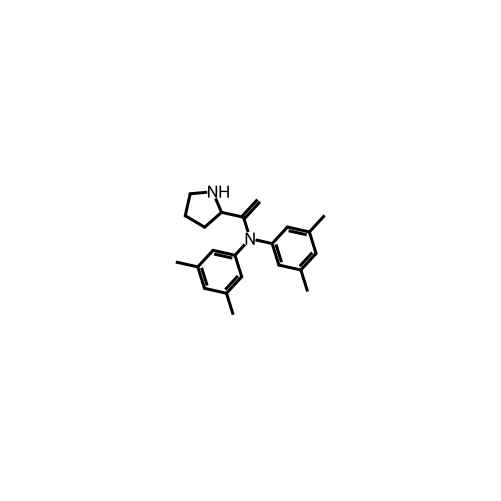 C=C(C1CCCN1)N(c1cc(C)cc(C)c1)c1cc(C)cc(C)c1